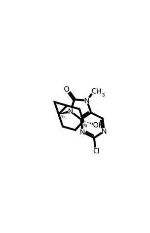 Cn1c(=O)n([C@]23CC[C@@H](O)CC2C3)c2nc(Cl)ncc21